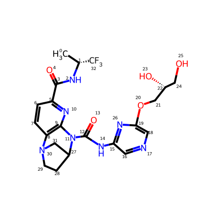 C[C@@H](NC(=O)c1ccc2c(n1)N(C(=O)Nc1cncc(OC[C@H](O)CO)n1)C1CCN2C1)C(F)(F)F